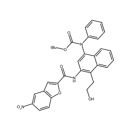 CC(C)(C)OC(=O)N(c1ccccc1)c1cc(NC(=O)c2cc3cc([N+](=O)[O-])ccc3o2)c(CCO)c2ccccc12